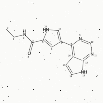 CCNC(=O)c1cc(-c2ncnc3[nH]ccc23)c[nH]1